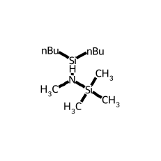 CCCC[SiH](CCCC)N(C)[Si](C)(C)C